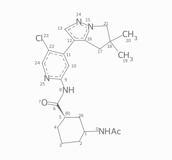 CC(=O)NC1CCC[C@@H](C(=O)Nc2cc(-c3cnn4c3CC(C)(C)C4)c(Cl)cn2)C1